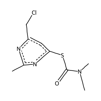 Cc1nc(CCl)cc(SC(=O)N(C)C)n1